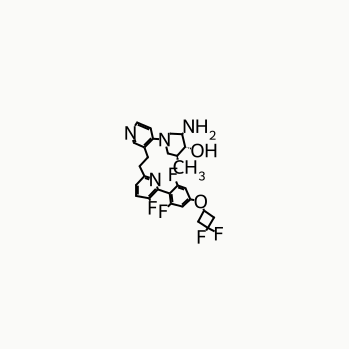 C[C@H]1CN(c2ccncc2CCc2ccc(F)c(-c3c(F)cc(OC4CC(F)(F)C4)cc3F)n2)C[C@@H](N)[C@@H]1O